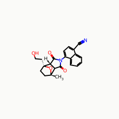 C[C@@]12CC[C@](CCO)(O1)[C@@H]1C(=O)N(c3ccc(C#N)c4ccccc34)C(=O)C12